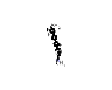 BCc1ccc(-c2ccc(-c3ccc(C4COC(CC/C=C/C)OC4)c(F)c3)cc2)c(F)c1F